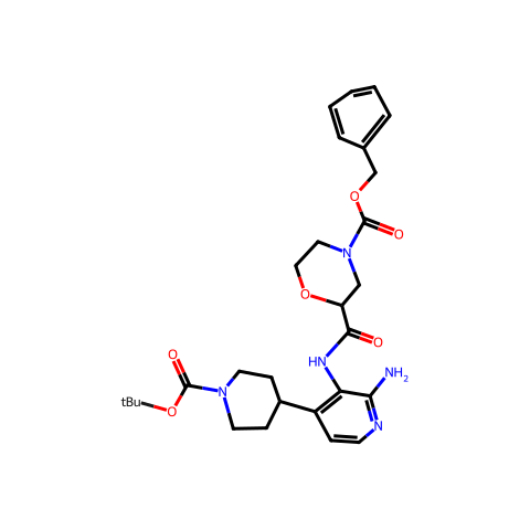 CC(C)(C)OC(=O)N1CCC(c2ccnc(N)c2NC(=O)C2CN(C(=O)OCc3ccccc3)CCO2)CC1